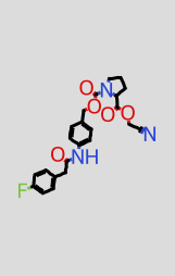 N#CCOC(=O)C1CCCN1C(=O)OCc1ccc(NC(=O)Cc2ccc(F)cc2)cc1